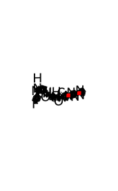 C[C@@H]1CN(c2cnc(-c3ncccn3)cn2)CCN1C(=O)CN1CC[C@@H](C(=O)Nc2ccc3[nH]nc(-c4ccc(F)cc4)c3c2)C1